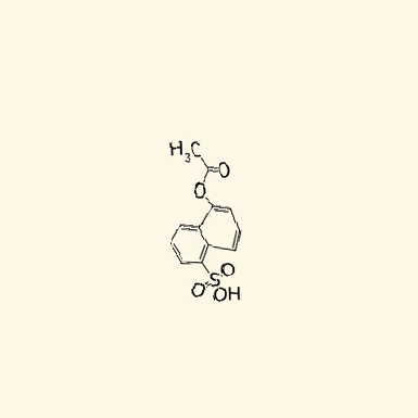 CC(=O)Oc1cccc2c(S(=O)(=O)O)cccc12